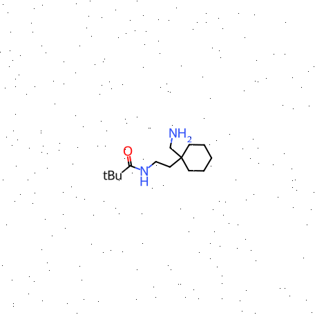 CC(C)(C)C(=O)NCCC1(CN)CCCCC1